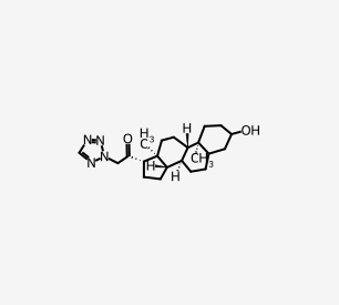 C[C@]12CC[C@H]3[C@@H](CCC4CC(O)CC[C@@]43C)[C@@H]1CC[C@@H]2C(=O)Cn1ncnn1